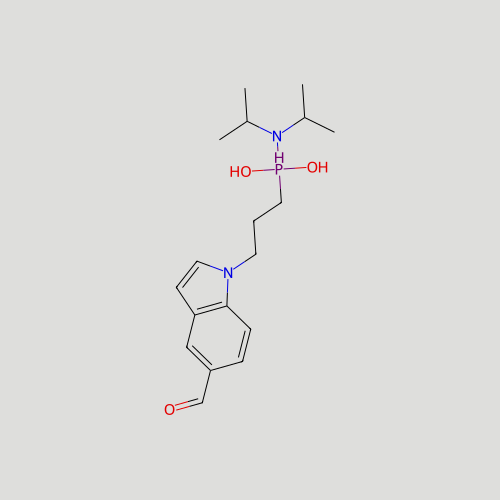 CC(C)N(C(C)C)[PH](O)(O)CCCn1ccc2cc(C=O)ccc21